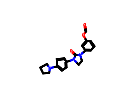 O=COc1cccc(N2CCN(c3ccc(N4CCCC4)cc3)C2=O)c1